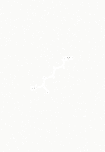 CNCCCCC(C)C(C)C